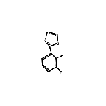 CCc1cccc(-c2nccs2)c1I